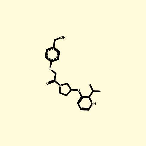 CC(C)C1NC=CC=C1OC1CCN(C(=O)COc2ccc(CO)cc2)C1